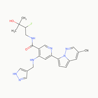 CC(C)(O)C(F)CNC(=O)c1cnc(-c2ccc3cc(C#N)cnn23)cc1NCc1cn[nH]c1